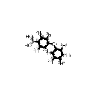 [2H]c1c([2H])c([2H])c(Oc2c([2H])c([2H])c(B(O)O)c([2H])c2[2H])c([2H])c1[2H]